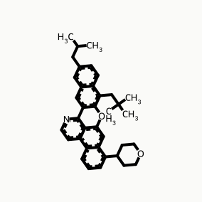 CC(C)Cc1ccc2c(CC(C)(C)C)c3c(cc2c1)-c1nccc2c1c(cc1c(C4CCOCC4)cccc12)O3